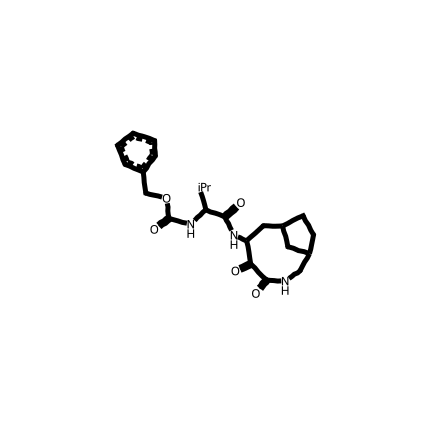 CC(C)C(NC(=O)OCc1ccccc1)C(=O)NC1CC2CCC(CNC(=O)C1=O)C2